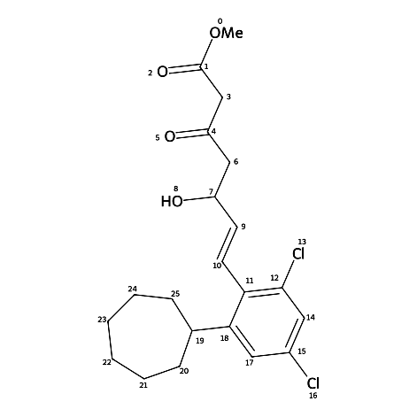 COC(=O)CC(=O)CC(O)/C=C/c1c(Cl)cc(Cl)cc1C1CCCCCC1